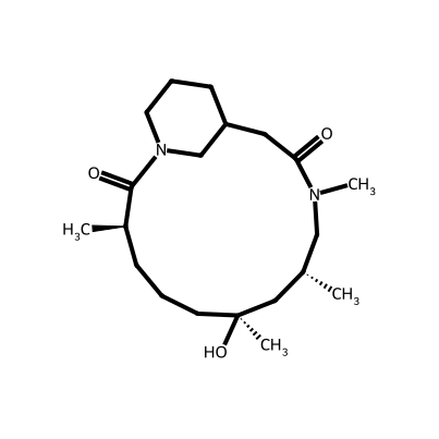 C[C@H]1CN(C)C(=O)CC2CCCN(C2)C(=O)[C@H](C)CCC[C@](C)(O)C1